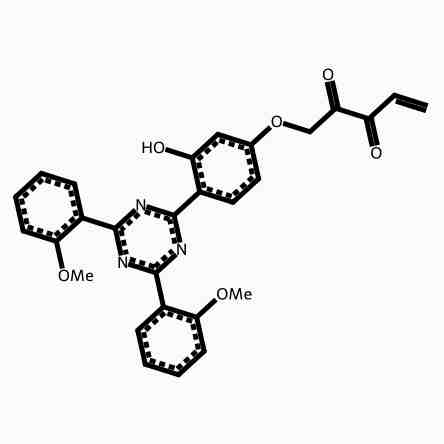 C=CC(=O)C(=O)COc1ccc(-c2nc(-c3ccccc3OC)nc(-c3ccccc3OC)n2)c(O)c1